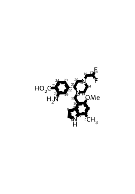 COc1cc(C)c2[nH]ccc2c1CN1CCN(CC(F)F)C[C@H]1c1ccc(C(=O)O)c(N)c1